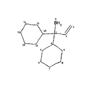 BC(C=C)(C1CCCCC1)C1CCCCC1